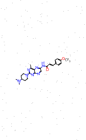 Cc1nc(N2CCC(N(C)C)CC2)nc2ncc(NC(=O)/C=C/c3ccc(OC(F)(F)F)cc3)nc12